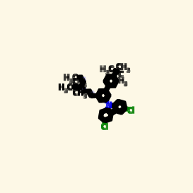 C\C=C/C(=C\C=C\c1cc(-c2ccc(C(C)(C)C)cc2)cc(-n2c3c(c4cc(Cl)ccc42)C=C(Cl)CC3)c1)C(C)(C)C